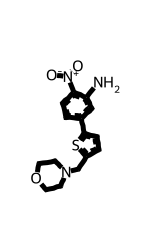 Nc1cc(-c2ccc(CN3CCOCC3)s2)ccc1[N+](=O)[O-]